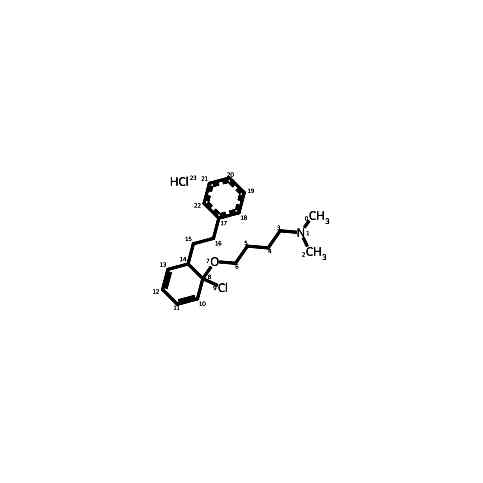 CN(C)CCCCOC1(Cl)C=CC=CC1CCc1ccccc1.Cl